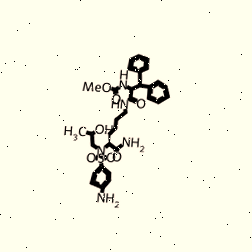 COC(=O)NC(C(=O)NCCCC[C@@H](C(N)=O)N(CC(C)O)S(=O)(=O)c1ccc(N)cc1)C(c1ccccc1)c1ccccc1